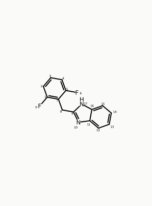 Fc1cccc(F)c1Cc1nc2ccccc2[nH]1